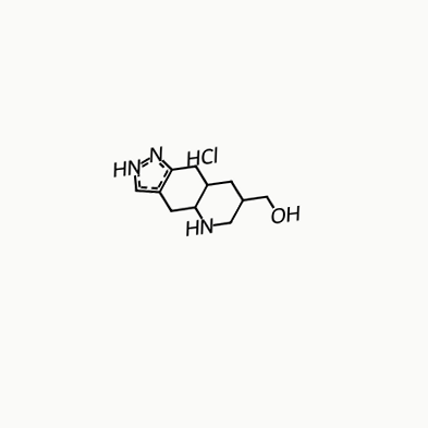 Cl.OCC1CNC2Cc3c[nH]nc3CC2C1